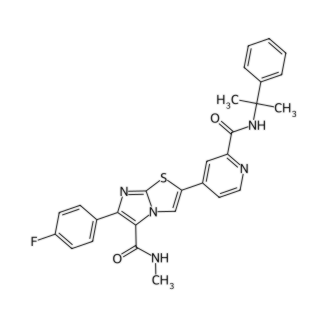 CNC(=O)c1c(-c2ccc(F)cc2)nc2sc(-c3ccnc(C(=O)NC(C)(C)c4ccccc4)c3)cn12